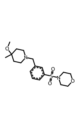 COC1(C)CCN(Cc2cccc(S(=O)(=O)N3CCOCC3)c2)CC1